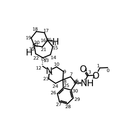 CCOC(=O)N[C@@H]1CC2(CCN(C[C@H]3CC[C@H]4CCC[C@@H](C4)C3)CC2)c2ccccc21